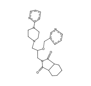 O=C1C2CCCCC2C(=O)N1CC(CN1CCN(c2ccccn2)CC1)OCc1cccnc1